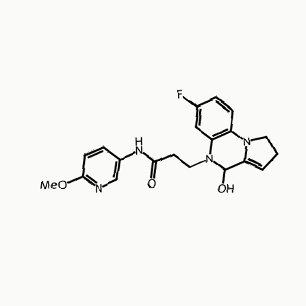 COc1ccc(NC(=O)CCN2c3cc(F)ccc3N3CCC=C3C2O)cn1